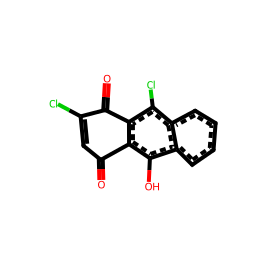 O=C1C=C(Cl)C(=O)c2c1c(O)c1ccccc1c2Cl